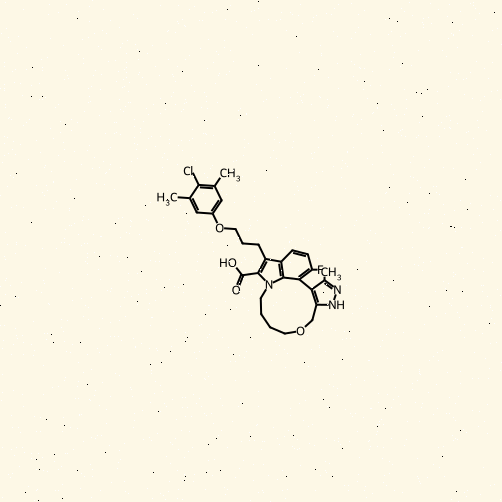 Cc1cc(OCCCc2c(C(=O)O)n3c4c(c(F)ccc24)-c2c(C)n[nH]c2COCCCC3)cc(C)c1Cl